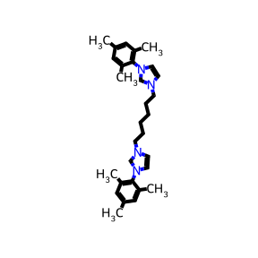 Cc1cc(C)c(N2C=CN(CCCCCCN3C=CN(c4c(C)cc(C)cc4C)C3)C2)c(C)c1